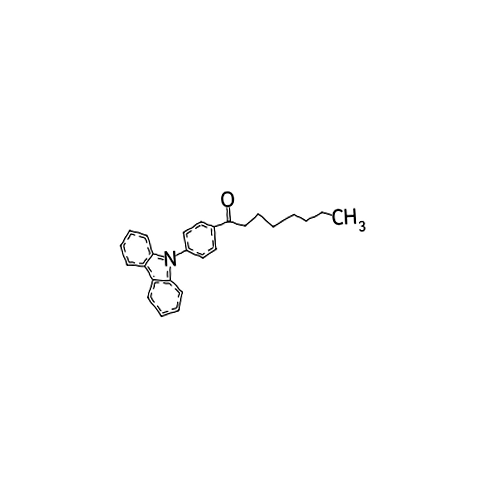 CCCCCCCC(=O)c1ccc(-n2c3ccccc3c3ccccc32)cc1